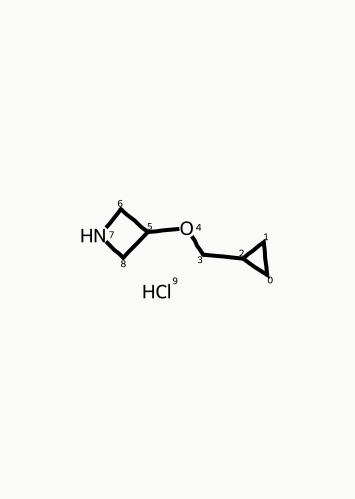 C1CC1COC1CNC1.Cl